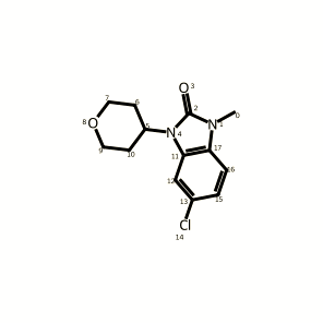 Cn1c(=O)n(C2CCOCC2)c2cc(Cl)ccc21